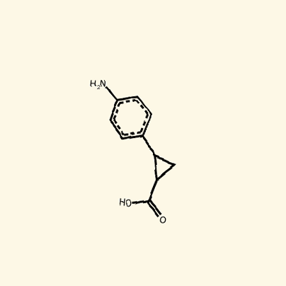 Nc1ccc(C2CC2C(=O)O)cc1